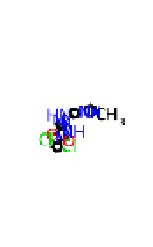 CN1CCCN(c2ccc(Nc3ncc4c(=O)n(-c5c(Cl)cccc5Cl)c(=O)[nH]c4n3)cc2)CC1